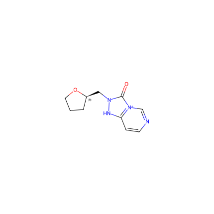 O=c1n(C[C@H]2CCCO2)[nH]c2ccnc[n+]12